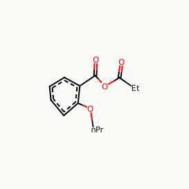 CCCOc1ccccc1C(=O)OC(=O)CC